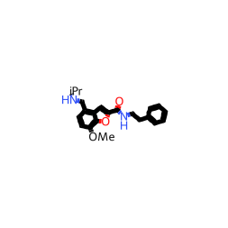 COc1ccc(CNC(C)C)c2cc(C(=O)NCCc3ccccc3)oc12